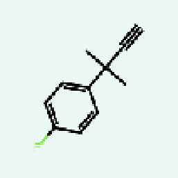 C#CC(C)(C)c1ccc(F)cc1